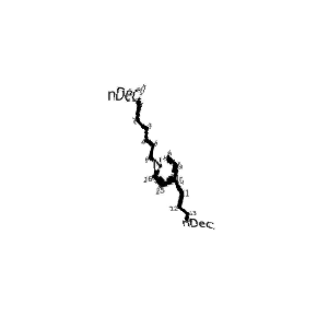 CCCCCCCCCCCCCCCC[n+]1ccc(CCCCCCCCCCCCC)cc1